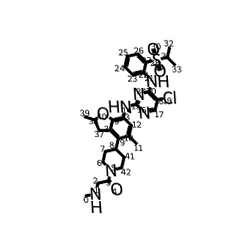 CNCC(=O)N1CCC(c2c(C)cc(Nc3ncc(Cl)c(Nc4ccccc4S(=O)(=O)C(C)C)n3)c3c2CC(C)O3)CC1